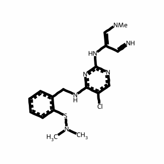 CN/C=C(\C=N)Nc1ncc(Cl)c(NCc2ccccc2SN(C)C)n1